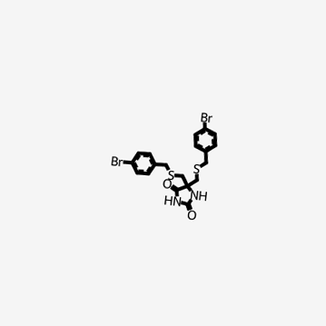 O=C1NC(=O)C(CSCc2ccc(Br)cc2)(CSCc2ccc(Br)cc2)N1